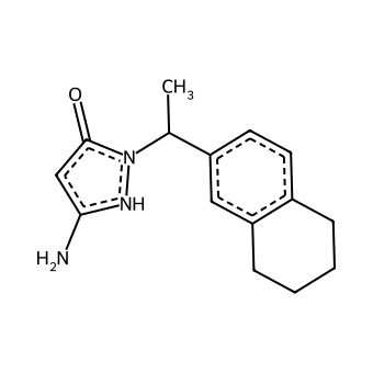 CC(c1ccc2c(c1)CCCC2)n1[nH]c(N)cc1=O